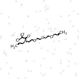 C=CCOCCOCCOCCN(CC=C)C(=O)C(Cl)Cl